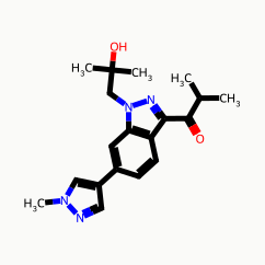 CC(C)C(=O)c1nn(CC(C)(C)O)c2cc(-c3cnn(C)c3)ccc12